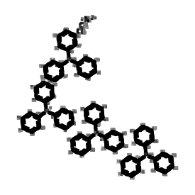 [Cl-].[Cl-].[Ni+2].c1ccc(P(c2ccccc2)c2ccccc2)cc1.c1ccc(P(c2ccccc2)c2ccccc2)cc1.c1ccc(P(c2ccccc2)c2ccccc2)cc1.c1ccc(P(c2ccccc2)c2ccccc2)cc1